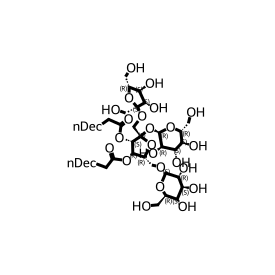 CCCCCCCCCCCC(=O)O[C@@H]1[C@@H](CO[C@H]2O[C@H](CO)[C@@H](O)[C@H](O)[C@H]2O)O[C@@](CO[C@@]2(CO)O[C@H](CO)[C@@H](O)[C@@H]2O)(O[C@H]2O[C@H](CO)[C@@H](O)[C@H](O)[C@H]2O)[C@H]1OC(=O)CCCCCCCCCCC